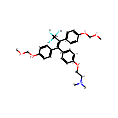 COCOc1ccc(C(=C(c2ccc(OCOC)cc2)C(F)(F)F)c2ccc(OCCN(C)C)cc2)cc1